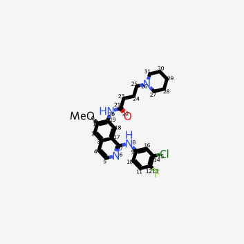 COc1cc2ccnc(Nc3ccc(F)c(Cl)c3)c2cc1NC(=O)CCCN1CCCCC1